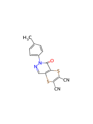 Cc1ccc(-n2ncc3c(c2=O)SC(C#N)=C(C#N)S3)cc1